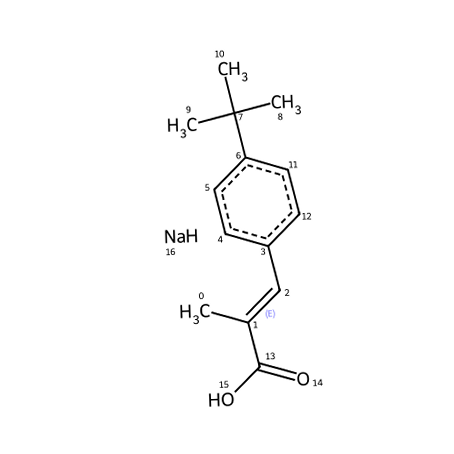 C/C(=C\c1ccc(C(C)(C)C)cc1)C(=O)O.[NaH]